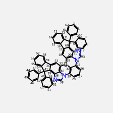 c1ccc(C2(c3ccccc3)c3ccccc3-c3cc4c5c(ncn5-c5cccc6c5B4c4cc5c(c7ncn-6c47)C(c4ccccc4)(c4ccccc4)c4ccccc4-5)c32)cc1